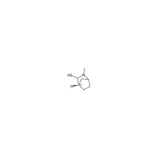 CN1C2CC[C@@H](C2)C1S